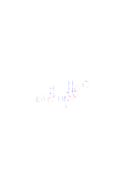 C=CCNC(=O)[C@H](CCCCNC(=O)OC(C)(C)C)NC(=O)OCc1ccccc1